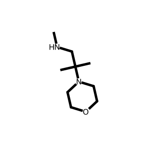 CNCC(C)(C)N1CCOCC1